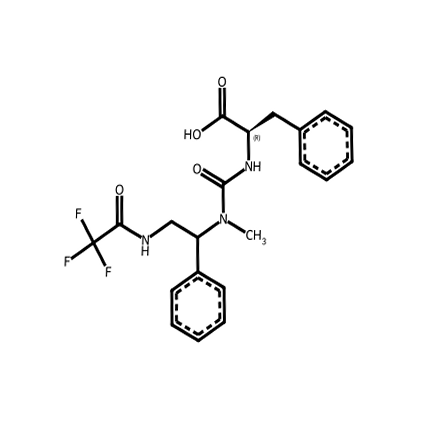 CN(C(=O)N[C@H](Cc1ccccc1)C(=O)O)C(CNC(=O)C(F)(F)F)c1ccccc1